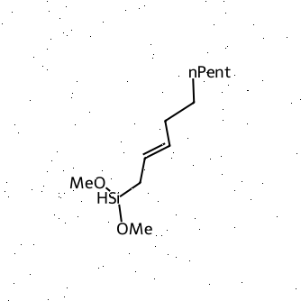 CCCCCCCC=CC[SiH](OC)OC